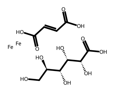 O=C(O)/C=C/C(=O)O.O=C(O)[C@H](O)[C@@H](O)[C@H](O)[C@H](O)CO.[Fe].[Fe]